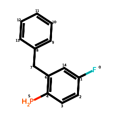 Fc1ccc(P)c(Cc2ccccc2)c1